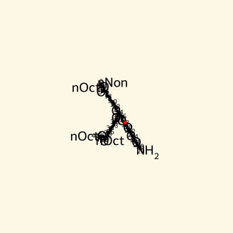 CCCCCCCCCC(CCCCCCCC)OC(=O)CCCCCCCOCC(COCCOCCOCCOCCN)OCCCCCCCC(=O)OC(CCCCCCCC)CCCCCCCC